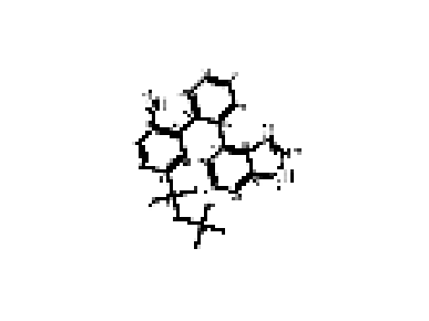 CC(C)(C)CC(C)(C)c1ccc(O)c(-c2ccccc2-c2cccc3[nH]nnc23)c1